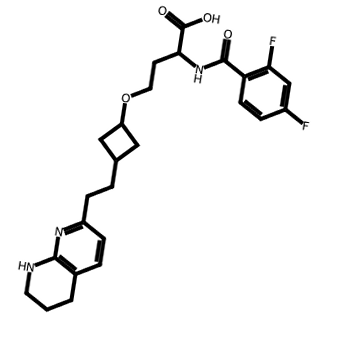 O=C(NC(CCOC1CC(CCc2ccc3c(n2)NCCC3)C1)C(=O)O)c1ccc(F)cc1F